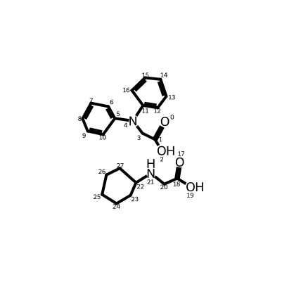 O=C(O)CN(c1ccccc1)c1ccccc1.O=C(O)CNC1CCCCC1